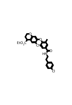 CCOC(=O)C1CCOc2cc(Oc3ccc(C(=O)NCCc4ccc(Cl)cc4)cc3C)c(C#N)cc21